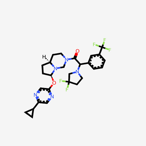 O=C(C(c1cccc(C(F)(F)F)c1)N1CCC(F)(F)C1)N1CC[C@@H]2CC[C@H](Oc3cnc(C4CC4)cn3)N2C1